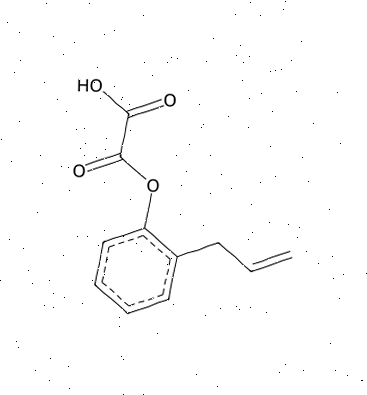 C=CCc1ccccc1OC(=O)C(=O)O